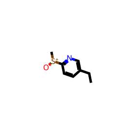 CCc1ccc([S+](C)[O-])nc1